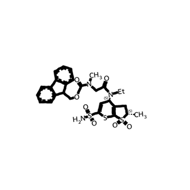 CCN(C(=O)CN(C)C(=O)OCC1c2ccccc2-c2ccccc21)[C@H]1C=C(S(N)(=O)=O)SC2=C1C[C@H](C)S2(=O)=O